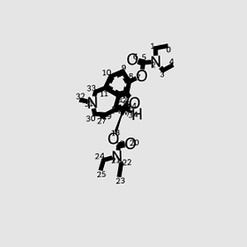 CCN(CC)C(=O)Oc1ccc2c3c1O[C@H]1C[C@@H](OC(=O)N(CC)CC)C(C)[C@@]31CCN(C)C2